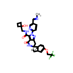 C/N=C/c1ccc(-n2nc3c(c2C(=O)NCC2(O)CCC2)C(=O)N[C@@]2(CCC4C=C(OCC(F)(F)F)C=CC42C)C3)nc1